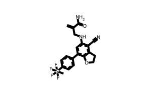 C=C(CNc1cc(-c2ccc(S(C)(F)(F)(F)F)cc2)c2c(c1C#N)CCO2)C(N)=O